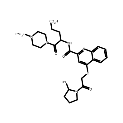 CCOC(=O)N1CCN(C(=O)C(CCC(=O)O)NC(=O)c2cc(OCC(=O)N3CCCC3C(C)C)c3ccccc3n2)CC1